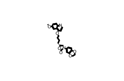 COc1ccc2nccc(OCCCC[C@@H]3CN(c4ccc5c(c4)OCCO5)C(=O)O3)c2c1